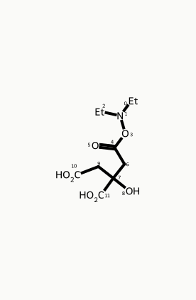 CCN(CC)OC(=O)CC(O)(CC(=O)O)C(=O)O